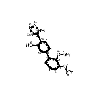 CCCOc1cccc(-c2ccc(-c3nnn[nH]3)c(O)c2)c1OCCC